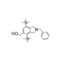 C[Si](C)(C)c1cc(CO)c([Si](C)(C)C)c2c1CN(Cc1ccccc1)C2